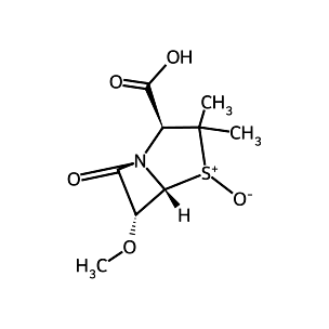 CO[C@@H]1C(=O)N2[C@@H]1[S+]([O-])C(C)(C)[C@@H]2C(=O)O